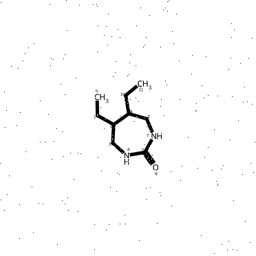 CCC1CNC(=O)NCC1CC